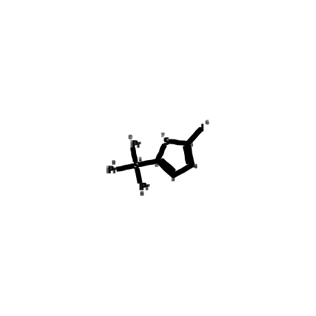 CC(C)S(c1ccc(I)s1)(C(C)C)C(C)C